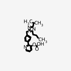 CCCCc1nc(C(C)C)nn1Cc1ccc(-c2ncccc2OC(=O)O)cc1